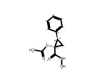 NC(=O)O[C@@]1(C(=O)NO)C[C@@H]1c1ccccc1